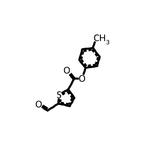 Cc1ccc(OC(=O)c2ccc(C=O)s2)cc1